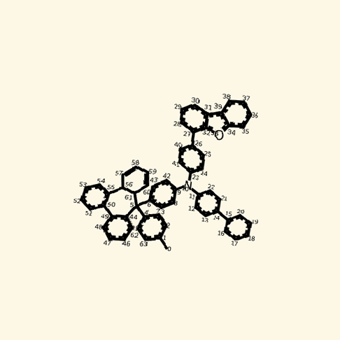 Cc1ccc(C2(c3ccc(N(c4ccc(-c5ccccc5)cc4)c4ccc(-c5cccc6c5oc5ccccc56)cc4)cc3)c3ccccc3-c3ccccc3C3C=CC=CC32)cc1